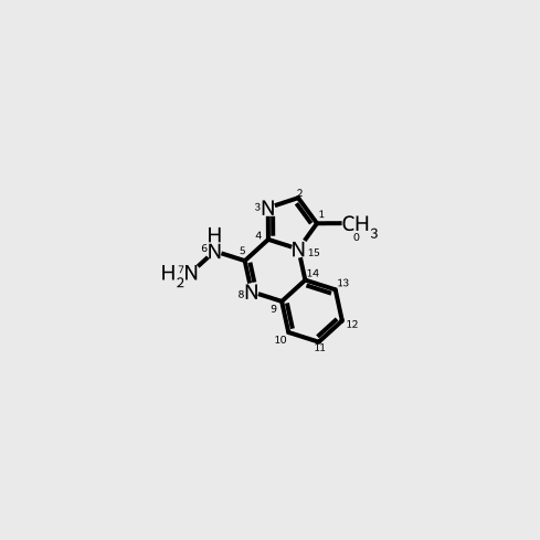 Cc1cnc2c(NN)nc3ccccc3n12